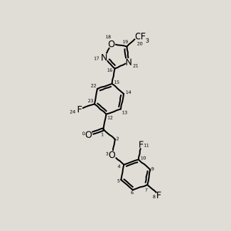 O=C(COc1ccc(F)cc1F)c1ccc(-c2noc(C(F)(F)F)n2)cc1F